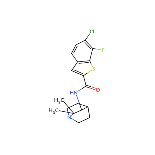 CC1(C)C(NC(=O)c2cc3ccc(Cl)c(F)c3s2)C2CCN1CC2